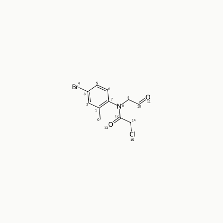 Cc1cc(Br)ccc1N(CC=O)C(=O)CCl